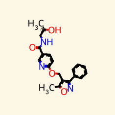 Cc1onc(-c2ccccc2)c1COc1ccc(C(=O)NC[C@@H](C)O)cn1